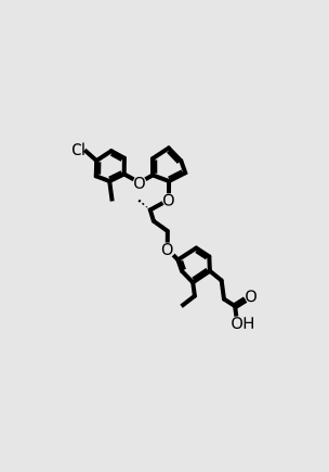 CCc1cc(OCC[C@H](C)Oc2ccccc2Oc2ccc(Cl)cc2C)ccc1CCC(=O)O